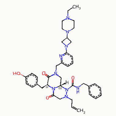 C=CCN1CC(=O)N2[C@@H](Cc3ccc(O)cc3)C(=O)N(Cc3cccc(N4CC(N5CCN(CC)CC5)C4)n3)C[C@@H]2N1C(=O)NCc1ccccc1